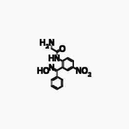 NCC(=O)Nc1ccc([N+](=O)[O-])cc1/C(=N/O)c1ccccc1